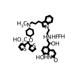 CN(CCCc1cn(CCNC[C@H](O)c2ccc(O)c3[nH]c(=O)ccc23)c2ccccc12)[C@H]1CC[C@H](OC(C(=O)O)(c2cccs2)c2cccs2)CC1.F.F